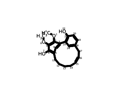 COc1c2cc(c(O)c1OC)CCCC/C=C\Cc1ccc(O)c-2c1